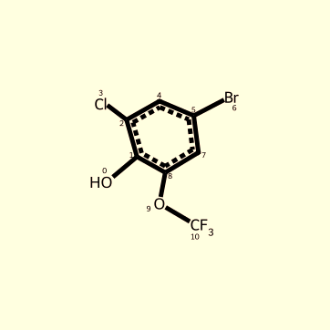 Oc1c(Cl)cc(Br)cc1OC(F)(F)F